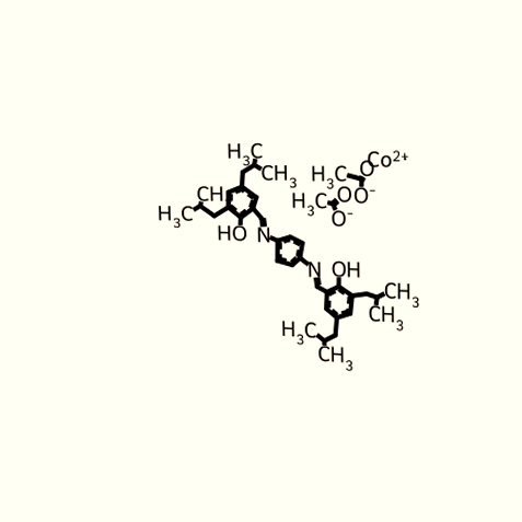 CC(=O)[O-].CC(=O)[O-].CC(C)Cc1cc(C=Nc2ccc(N=Cc3cc(CC(C)C)cc(CC(C)C)c3O)cc2)c(O)c(CC(C)C)c1.[Co+2]